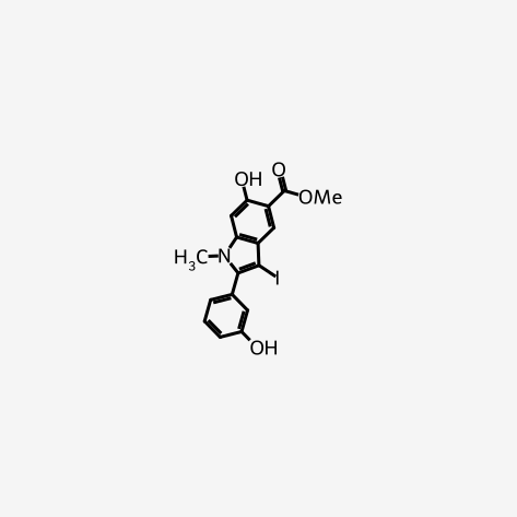 COC(=O)c1cc2c(I)c(-c3cccc(O)c3)n(C)c2cc1O